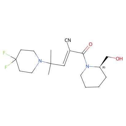 CC(C)(C=C(C#N)C(=O)N1CCCC[C@@H]1CO)N1CCC(F)(F)CC1